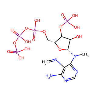 C=Nc1c(N)ncnc1N(C)[C@@H]1O[C@H](COP(=O)(O)OP(=O)(O)OP(=O)(O)O)C(OP(=O)(O)O)C1O